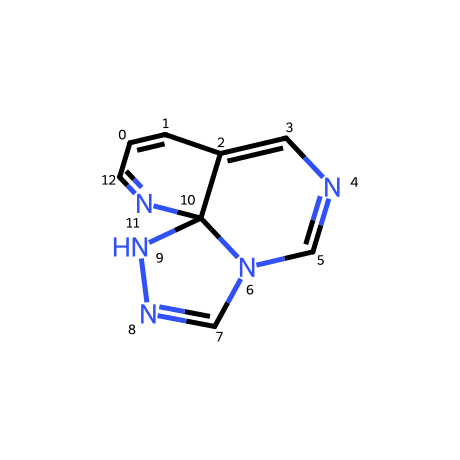 C1=CC2=CN=CN3C=NNC23N=C1